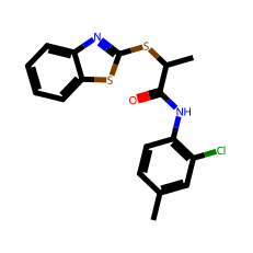 Cc1ccc(NC(=O)C(C)Sc2nc3ccccc3s2)c(Cl)c1